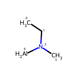 CC[N](C)[AlH2]